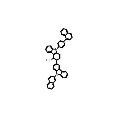 CC1c2c(n(-c3ccc(-c4cccc5ccccc45)cc3)c3ccccc23)C=CC1c1ccc2c(c1)c1ccccc1n2-c1ccc2ccccc2c1